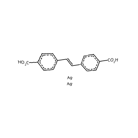 O=C(O)c1ccc(C=Cc2ccc(C(=O)O)cc2)cc1.[Ag].[Ag]